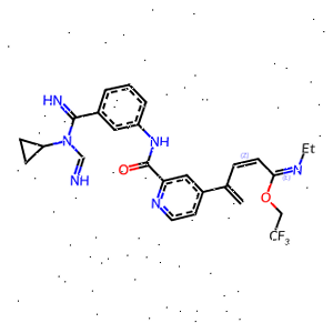 C=C(/C=C\C(=N/CC)OCC(F)(F)F)c1ccnc(C(=O)Nc2cccc(C(=N)N(C=N)C3CC3)c2)c1